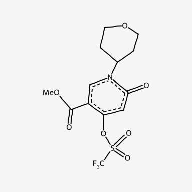 COC(=O)c1cn(C2CCOCC2)c(=O)cc1OS(=O)(=O)C(F)(F)F